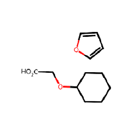 O=C(O)COC1CCCCC1.c1ccoc1